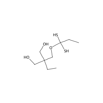 CCC(CO)(CO)COC(S)(S)CC